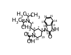 CC(C)N(CCC1CC(n2c(=O)[nH]c3ccccc32)CCN1C(=O)O)C(C)C